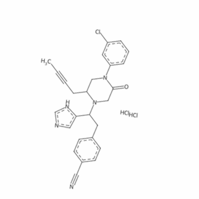 CC#CCC1CN(c2cccc(Cl)c2)C(=O)CN1C(Cc1ccc(C#N)cc1)c1cnc[nH]1.Cl.Cl